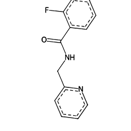 O=C(NCc1ccccn1)c1ccccc1F